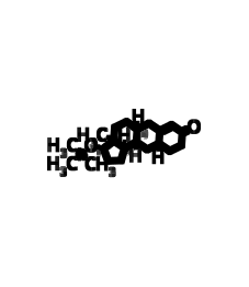 CC(C)(C)O[C@@H]1CC[C@@H]2[C@H]3C[C@H]4CCC(=O)C=C4C[C@@H]3CC[C@]21C